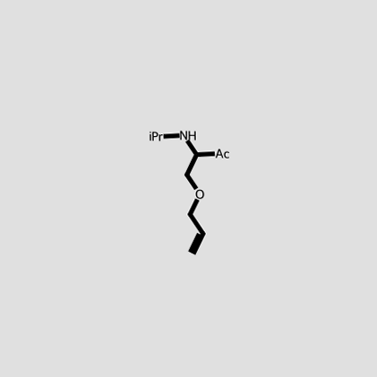 C=CCOCC(NC(C)C)C(C)=O